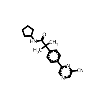 CC(C)(C(=O)NC1CCCC1)c1ccc(-c2cncc(C#N)n2)cc1